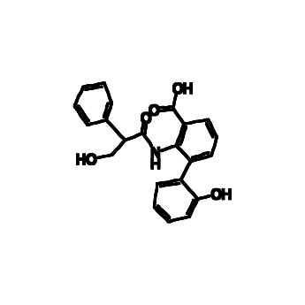 O=C(O)c1cccc(-c2ccccc2O)c1NC(=O)C(CO)c1ccccc1